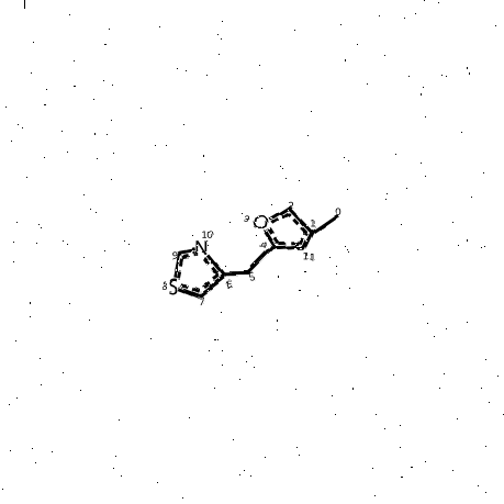 Cc1coc(Cc2cscn2)c1